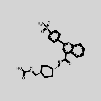 NS(=O)(=O)c1ccc(-c2cc(C(=O)NC[C@H]3CC[C@H](CNC(=O)O)CC3)c3ccccc3n2)cc1